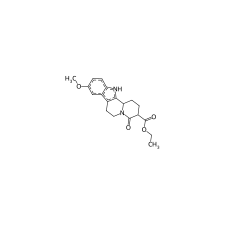 CCOC(=O)C1CCC2c3[nH]c4ccc(OC)cc4c3CCN2C1=O